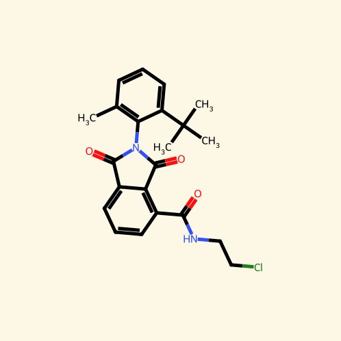 Cc1cccc(C(C)(C)C)c1N1C(=O)c2cccc(C(=O)NCCCl)c2C1=O